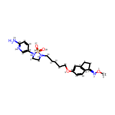 CCON=C1CCc2cc(OCCCCCN3CCN(c4ccc(N)nc4)S3(=O)=O)ccc21